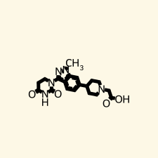 Cn1nc(N2CCC(=O)NC2=O)c2ccc(C3CCN(CC(=O)O)CC3)cc21